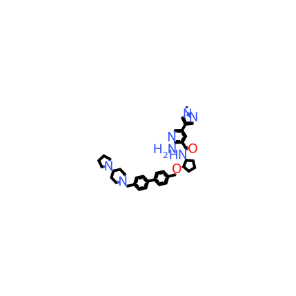 Cn1cc(-c2cnc(N)c(C(=O)N[C@H]3CCC[C@@H]3OCc3ccc(-c4ccc(CN5CCC(N6CCCC6)CC5)cc4)cc3)c2)cn1